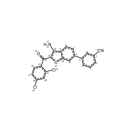 N#Cc1cccc(-c2ccc3c(N)c(C(=O)c4ccc(Cl)cc4Cl)oc3c2)c1